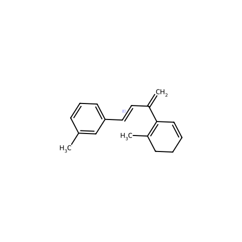 C=C(/C=C/c1cccc(C)c1)C1=C(C)CCC=C1